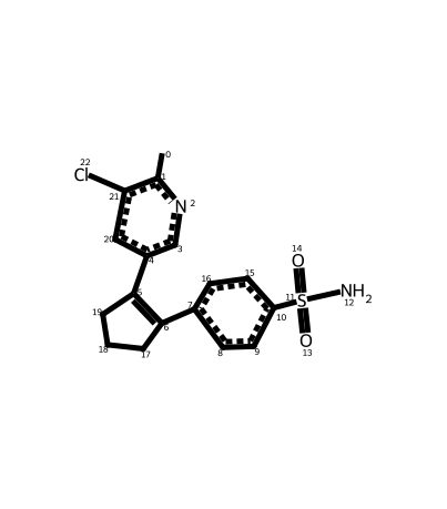 Cc1ncc(C2=C(c3ccc(S(N)(=O)=O)cc3)CCC2)cc1Cl